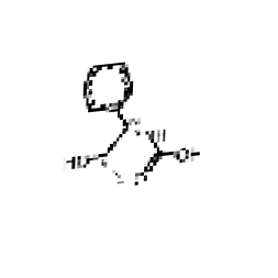 C[C@H](O)[C@@H](NC(=O)O)c1ccccc1